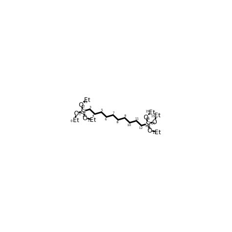 CCO[Si](CCCCCCCCCC[Si](OCC)(OCC)OCC)(OCC)OCC